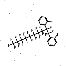 FC(F)(F)C(F)(F)C(F)(F)C(F)(F)C(F)(F)C(F)(F)C(F)(F)C(F)(F)C(F)(c1ccccc1I)C(F)(F)c1ccccc1I